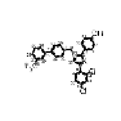 Oc1ccc(-c2nc(-c3ccc(Cl)cc3Cl)cn2Cc2ccc(-c3cccc(C(F)(F)F)c3)cc2)cc1